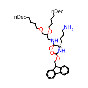 CCCCCCCCCCCCCCOCC(CNC(=O)[C@H](CCCCN)NC(=O)OCC1c2ccccc2-c2ccccc21)OCCCCCCCCCCCCCC